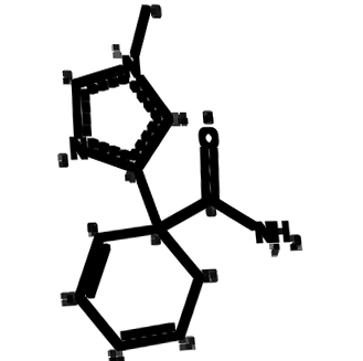 Cn1cnc(C2(C(N)=O)C=CC=CC2)c1